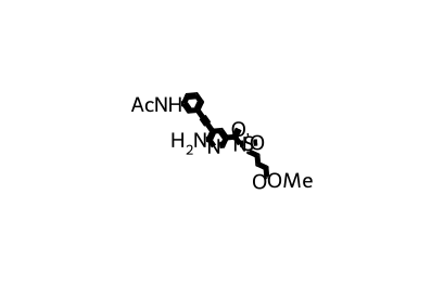 COC(=O)CCCC[S@](C)(=O)=NC(=O)c1cnc(N)c(C#Cc2cccc(NC(C)=O)c2)c1